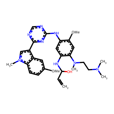 C=CC(O)Nc1cc(Nc2ncnc(-c3cn(C)c4ccc(OC)cc34)n2)c(OC)cc1N(C)CCN(C)C